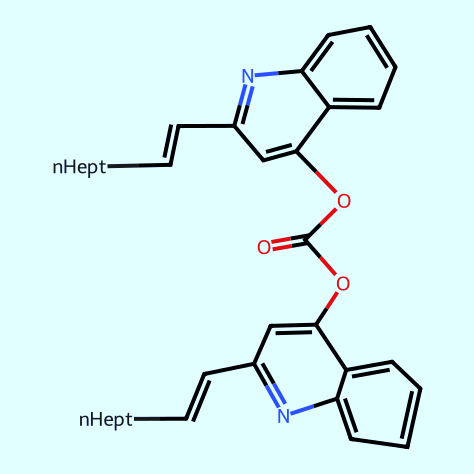 CCCCCCC/C=C/c1cc(OC(=O)Oc2cc(/C=C/CCCCCCC)nc3ccccc23)c2ccccc2n1